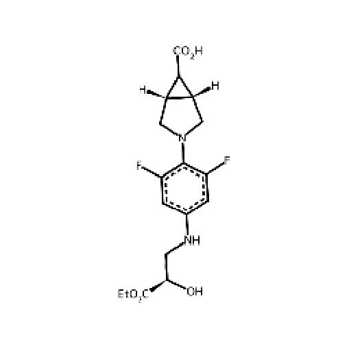 CCOC(=O)[C@H](O)CNc1cc(F)c(N2C[C@@H]3C(C(=O)O)[C@@H]3C2)c(F)c1